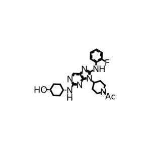 CC(=O)N1CCC(n2c(Nc3ccccc3F)nc3cnc(N[C@H]4CC[C@H](O)CC4)nc32)CC1